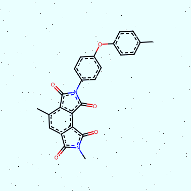 Cc1ccc(Oc2ccc(-n3c(=O)c4c(C)cc5c(=O)n(C)c(=O)c5c4c3=O)cc2)cc1